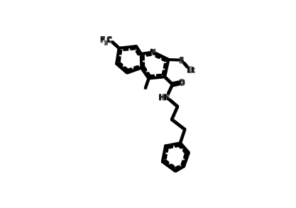 CCSc1nc2cc(C(F)(F)F)ccc2c(C)c1C(=O)NCCCc1ccccc1